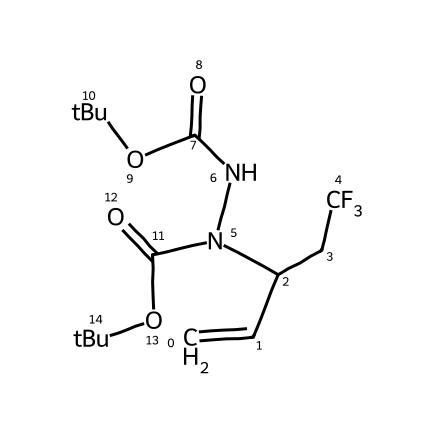 C=CC(CC(F)(F)F)N(NC(=O)OC(C)(C)C)C(=O)OC(C)(C)C